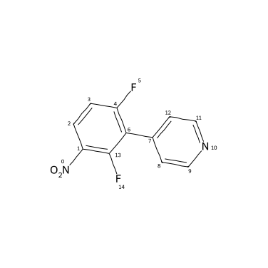 O=[N+]([O-])c1ccc(F)c(-c2ccncc2)c1F